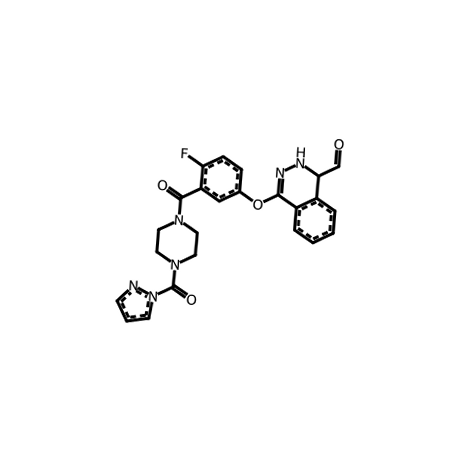 O=CC1NN=C(Oc2ccc(F)c(C(=O)N3CCN(C(=O)n4cccn4)CC3)c2)c2ccccc21